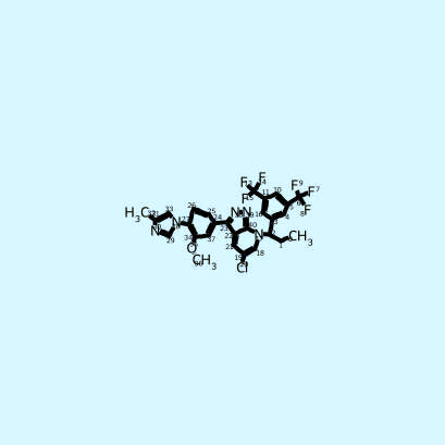 CCC(c1cc(C(F)(F)F)cc(C(F)(F)F)c1)n1cc(Cl)cc2c(-c3ccc(-n4cnc(C)c4)c(OC)c3)nnc1-2